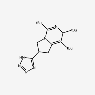 CC(C)(C)C1=NC(C(C)(C)C)C(C(C)(C)C)=C2CC(c3nnn[nH]3)CN12